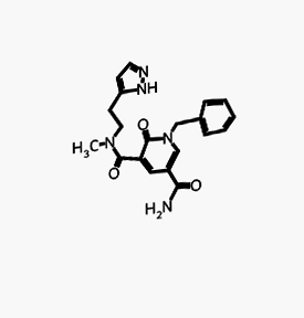 CN(CCc1ccn[nH]1)C(=O)c1cc(C(N)=O)cn(Cc2ccccc2)c1=O